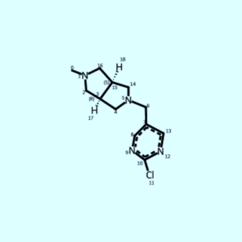 CN1C[C@@H]2CN(Cc3cnc(Cl)nc3)C[C@@H]2C1